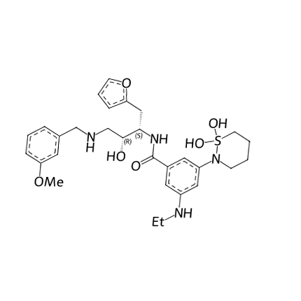 CCNc1cc(C(=O)N[C@@H](Cc2ccco2)[C@H](O)CNCc2cccc(OC)c2)cc(N2CCCCS2(O)O)c1